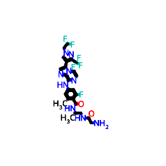 Cc1cc(Nc2nccn3c(-c4cn(CC(F)F)nc4C(F)(F)F)cnc23)cc(F)c1C(=O)NC(C)CNC(=O)CN